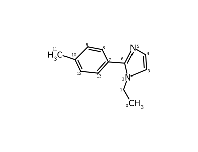 CCn1ccnc1-c1ccc(C)cc1